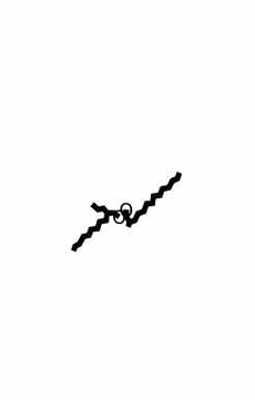 CCCCCCCCCCCCC(C)C(=O)OCC(CCC)CCCCCCCCC